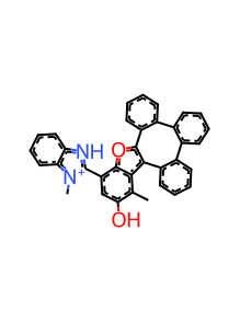 Cc1c(O)cc(-c2[nH]c3ccccc3[n+]2C)c2oc3c(c12)-c1ccccc1-c1ccccc1-c1ccccc1-3